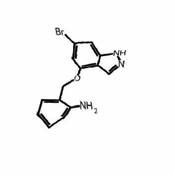 Nc1ccccc1COc1cc(Br)cc2[nH]ncc12